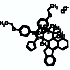 CCOc1ccc([C](c2ccc(OCC)cc2)=[Zr+2]([C]2=CC=CC2)[C]2(C)C3=C4Cc5ccccc5C4=C4C=CCCC4C3(C)C(C)(C)C(C)(C)C2(C)C)cc1.[Cl-].[Cl-]